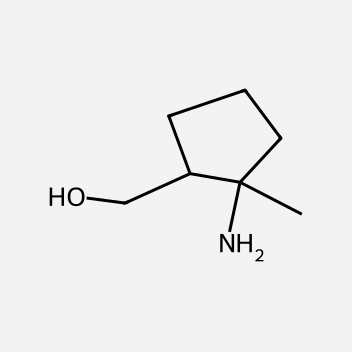 CC1(N)CCCC1CO